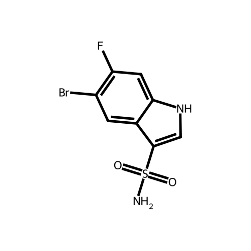 NS(=O)(=O)c1c[nH]c2cc(F)c(Br)cc12